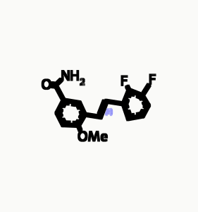 COc1ccc(C(N)=O)cc1/C=C/c1cccc(F)c1F